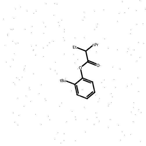 CCCC(CC)C(=O)Oc1ccccc1C(C)(C)C